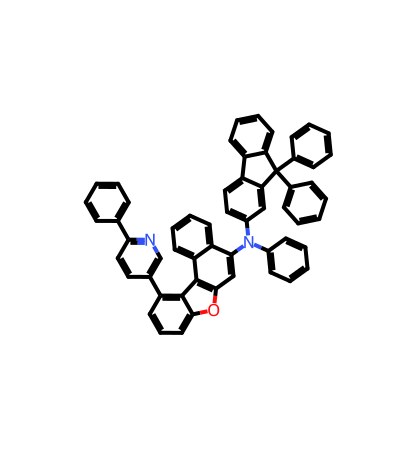 c1ccc(-c2ccc(-c3cccc4oc5cc(N(c6ccccc6)c6ccc7c(c6)C(c6ccccc6)(c6ccccc6)c6ccccc6-7)c6ccccc6c5c34)cn2)cc1